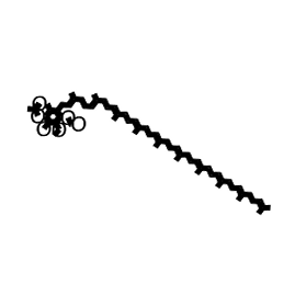 COc1c(OC(C)=O)c(C)c(C/C=C(\C)CC/C=C(\C)CC/C=C(\C)CC/C=C(\C)CC/C=C(\C)CC/C=C(\C)CC/C=C(\C)CC/C=C(\C)CC/C=C(\C)CCC=C(C)C)c(OC=O)c1OC